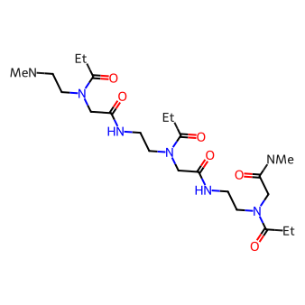 CCC(=O)N(CCNC(=O)CN(CCNC(=O)CN(CCNC)C(=O)CC)C(=O)CC)CC(=O)NC